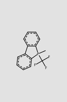 C[P]1(C(F)(F)F)c2ccccc2-c2ccccc21